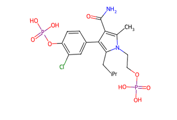 Cc1c(C(N)=O)c(-c2ccc(OP(=O)(O)O)c(Cl)c2)c(CC(C)C)n1CCOP(=O)(O)O